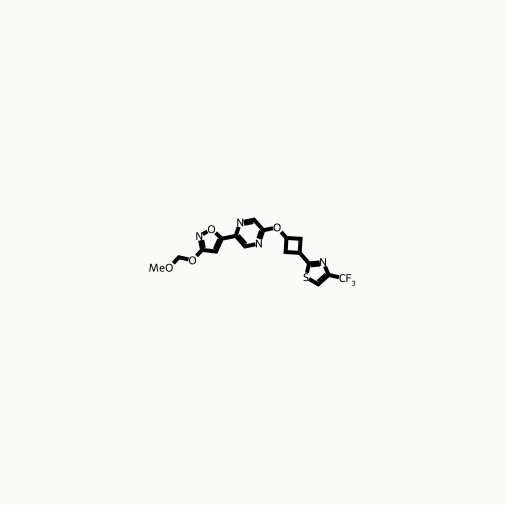 COCOc1cc(-c2cnc(OC3CC(c4nc(C(F)(F)F)cs4)C3)cn2)on1